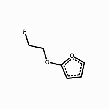 FCCOc1cc[c]o1